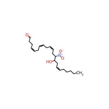 CCCCC/C=C\CC(O)C(C/C=C\C/C=C\C/C=C\CC[C]=O)[N+](=O)[O-]